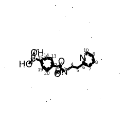 O=S(=O)(NCCc1ccccn1)c1ccc(B(O)O)cc1